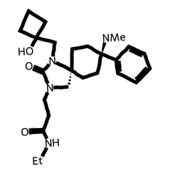 CCNC(=O)CCN1C[C@]2(CC[C@@](NC)(c3ccccc3)CC2)N(CC2(O)CCC2)C1=O